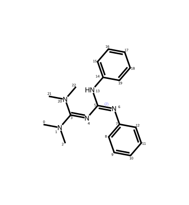 CN(C)C(=N/C(=N\c1ccccc1)Nc1ccccc1)N(C)C